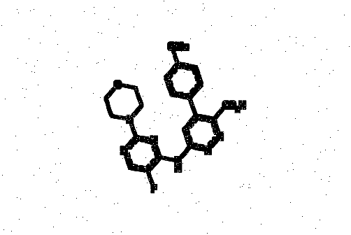 COc1ccc(-c2cc(Nc3nc(N4CCOCC4)ncc3F)nnc2C(=O)O)cc1